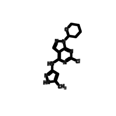 Cc1cc(Nc2nc(Cl)nc3c2cnn3C2CCCCO2)n[nH]1